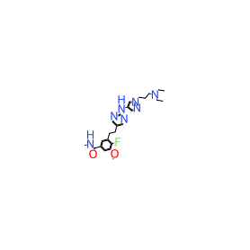 CCN(CC)CCCn1cc(Nc2ncc(CCc3cc(C(=O)NC)cc(OC)c3F)cn2)cn1